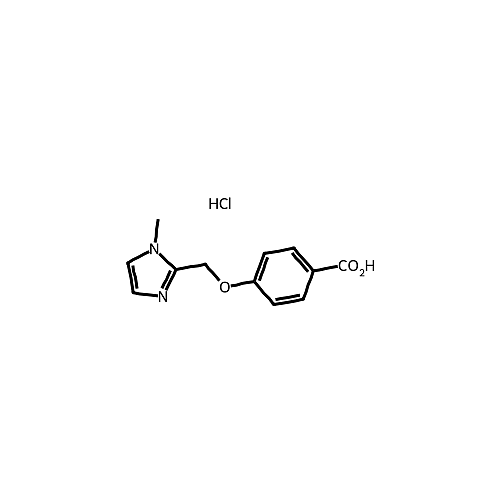 Cl.Cn1ccnc1COc1ccc(C(=O)O)cc1